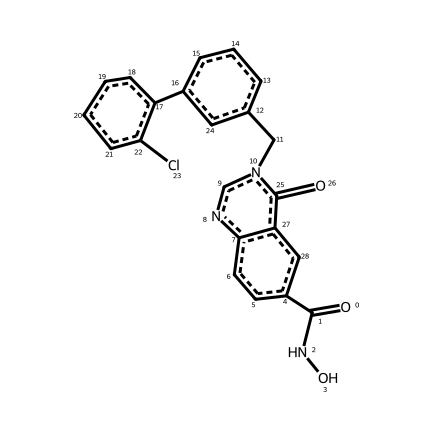 O=C(NO)c1ccc2ncn(Cc3cccc(-c4ccccc4Cl)c3)c(=O)c2c1